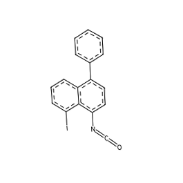 O=C=Nc1ccc(-c2ccccc2)c2cccc(I)c12